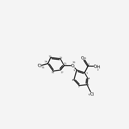 O=C(O)c1cc(Cl)ccc1Oc1ccc(Cl)cc1